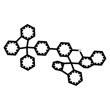 c1ccc(C2(c3ccc(-c4ccc5c(c4)C4(c6ccccc6-c6ccccc64)c4ccc6ccccc6c4O5)cc3)c3ccccc3-c3ccccc32)cc1